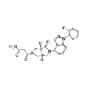 NC(=O)CC(=O)N1C[C@H]2CN(c3cccc4c3cnn4-c3ccccc3F)C(=O)[C@H]2C1